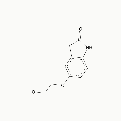 O=C1Cc2cc(OCCO)ccc2N1